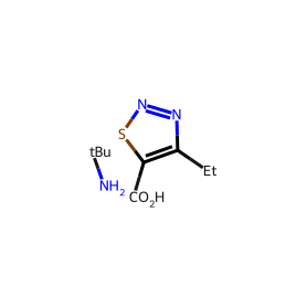 CC(C)(C)N.CCc1nnsc1C(=O)O